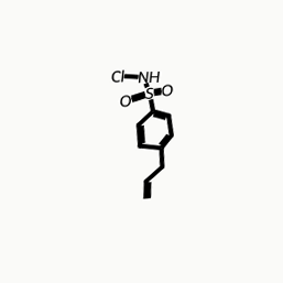 C=CCc1ccc(S(=O)(=O)NCl)cc1